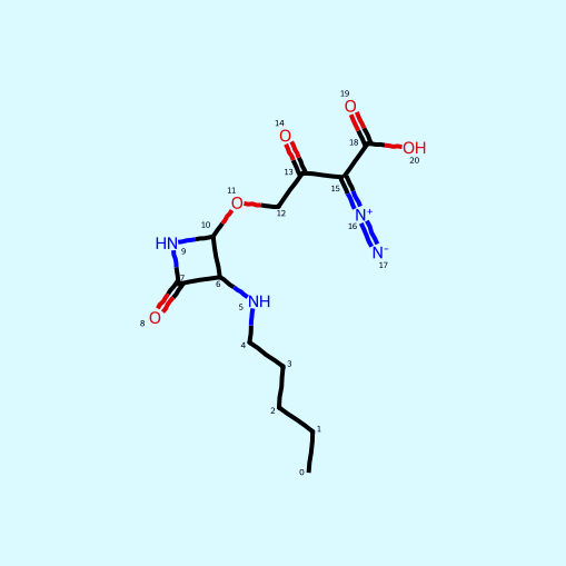 CCCCCNC1C(=O)NC1OCC(=O)C(=[N+]=[N-])C(=O)O